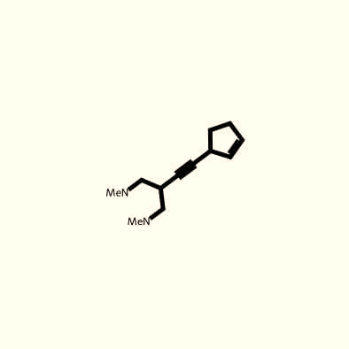 CNCC(C#CC1C=CCC1)CNC